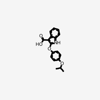 CC(C)Oc1ccc(Oc2[nH]c3ccccc3c2C(=O)O)cc1